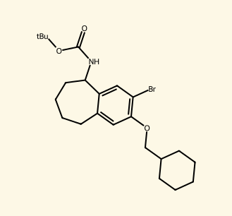 CC(C)(C)OC(=O)NC1CCCCc2cc(OCC3CCCCC3)c(Br)cc21